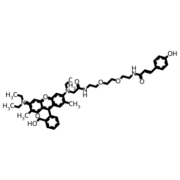 CCN(CC(=O)NCCOCCOCCNC(=O)/C=C/c1ccc(O)cc1)c1cc2oc3cc(=[N+](CC)CC)c(C)cc-3c(-c3ccccc3C(=O)O)c2cc1C